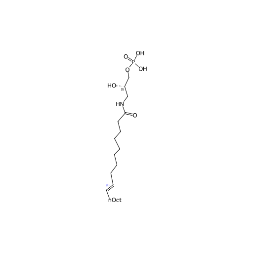 CCCCCCCC/C=C/CCCCCCCC(=O)NC[C@H](O)COP(=O)(O)O